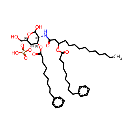 CCCCCCCCCCCC(CC(=O)N[C@H]1C(O)O[C@H](CO)[C@@H](OS(=O)(=O)O)[C@@H]1OC(=O)CCCCCCCCc1ccccc1)OC(=O)CCCCCCCCc1ccccc1